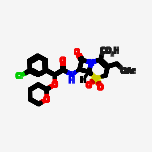 CC(=O)OCC1=C(C(=O)O)N2C(=O)[C@H](NC(=O)C(OC3CCCCO3)c3cccc(Cl)c3)[C@@H]2S(=O)(=O)C1